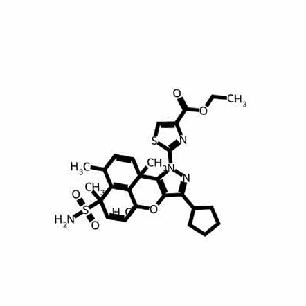 CCOC(=O)c1csc(-n2nc(C3CCCC3)c3c2C2(C)C=CC(C)C4=C2C(C)(C=CC4(C)S(N)(=O)=O)O3)n1